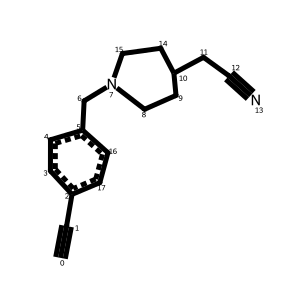 C#Cc1ccc(CN2CCC(CC#N)CC2)cc1